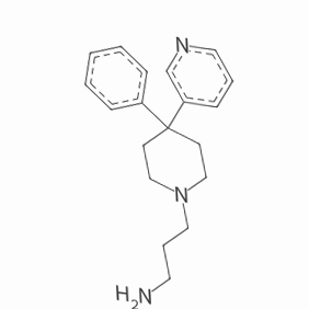 NCCCN1CCC(c2ccccc2)(c2cccnc2)CC1